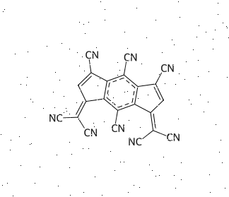 N#CC1=CC(=C(C#N)C#N)c2c(C#N)c3c(c(C#N)c21)C(C#N)=CC3=C(C#N)C#N